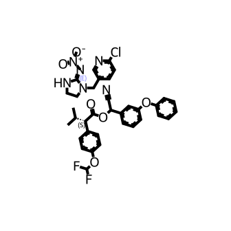 CC(C)[C@H](C(=O)OC(C#N)c1cccc(Oc2ccccc2)c1)c1ccc(OC(F)F)cc1.O=[N+]([O-])/N=C1\NCCN1Cc1ccc(Cl)nc1